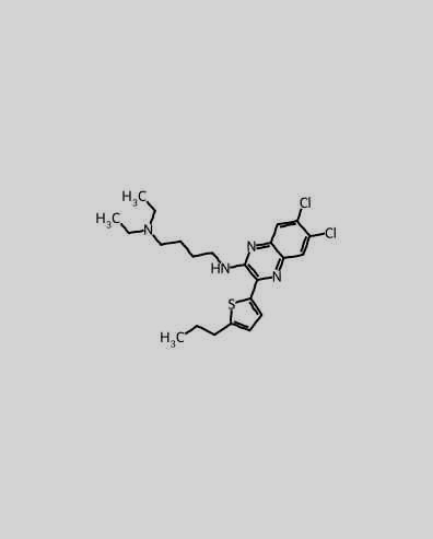 CCCc1ccc(-c2nc3cc(Cl)c(Cl)cc3nc2NCCCCN(CC)CC)s1